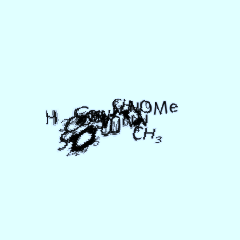 COc1nc(C)nc(N(C)C(=O)NS(=O)(=O)C2=C(S(C)(=O)=O)C(=S)CC=C2)n1